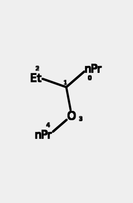 [CH2]CCC(CC)OCCC